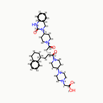 O=C(O)CN1CCN(C2CCN(C(=O)[C@@H](CC(=O)N3CCC(N4Cc5ccccc5NC4=O)CC3)C[C@@H]3CCCc4ccccc43)CC2)CC1